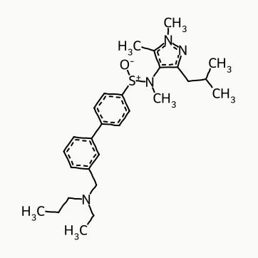 CCCN(CC)Cc1cccc(-c2ccc([S+]([O-])N(C)c3c(CC(C)C)nn(C)c3C)cc2)c1